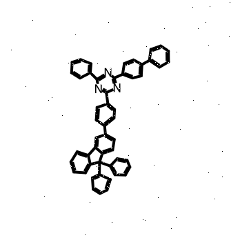 c1ccc(-c2ccc(-c3nc(-c4ccccc4)nc(-c4ccc(-c5ccc6c(c5)-c5ccccc5C6(c5ccccc5)c5ccccc5)cc4)n3)cc2)cc1